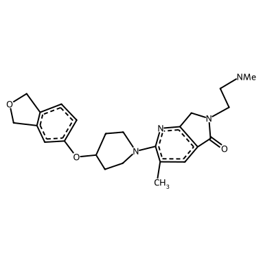 CNCCN1Cc2nc(N3CCC(Oc4ccc5c(c4)COC5)CC3)c(C)cc2C1=O